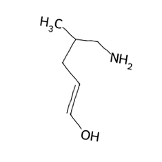 CC(CN)CC=CO